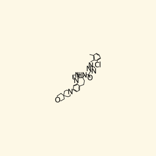 Cc1cccc(Cl)c1Cn1cnc(C(=O)NC2CCc3ccc(N4CCC5(CCOCC5)CC4)cc3-n3ccnc32)n1